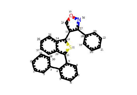 c1ccc(-c2ccccc2-c2sc(-c3conc3-c3ccccc3)c3ccccc23)cc1